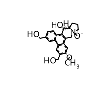 COc1cc2c3c(c4ccc(CO)cc4c2cc1CO)[C@@H](O)[C@H]1CCC[N+]1([O-])C3